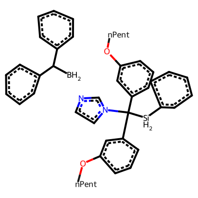 BC(c1ccccc1)c1ccccc1.CCCCCOc1cccc(C([SiH2]c2ccccc2)(c2cccc(OCCCCC)c2)n2ccnc2)c1